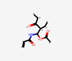 C=CC(=O)NC(OC(C)=O)C(CC)C(=O)CC